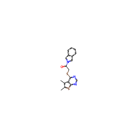 Cc1sc2ncnc(SCC(=O)n3cc4ccccc4c3)c2c1C